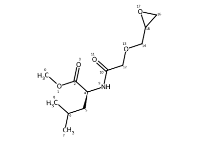 COC(=O)[C@H](CC(C)C)NC(=O)COCC1CO1